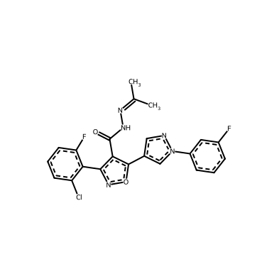 CC(C)=NNC(=O)c1c(-c2c(F)cccc2Cl)noc1-c1cnn(-c2cccc(F)c2)c1